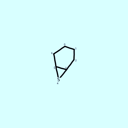 C1CCC2S[C]2C1